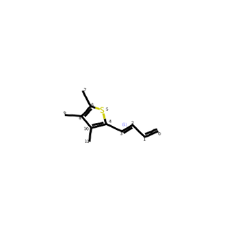 C=C/C=C/c1sc(C)c(C)c1C